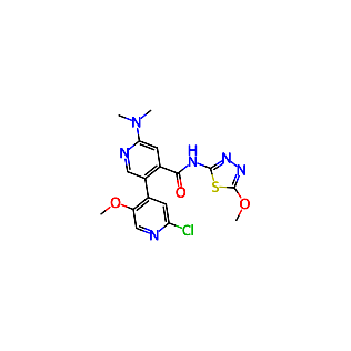 COc1nnc(NC(=O)c2cc(N(C)C)ncc2-c2cc(Cl)ncc2OC)s1